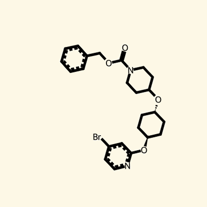 O=C(OCc1ccccc1)N1CCC(O[C@H]2CC[C@H](Oc3cc(Br)ccn3)CC2)CC1